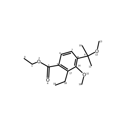 CCOC(=O)c1ccc(C(C)(C)OC)c(OC)c1CC